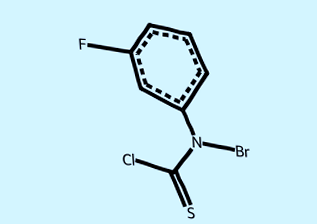 Fc1cccc(N(Br)C(=S)Cl)c1